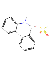 C[N]1c2ccccc2-c2cccc[c]2[Pd]1[O]S(C)(=O)=O